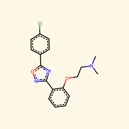 CN(C)CCOc1ccccc1-c1noc(-c2ccc(Cl)cc2)n1